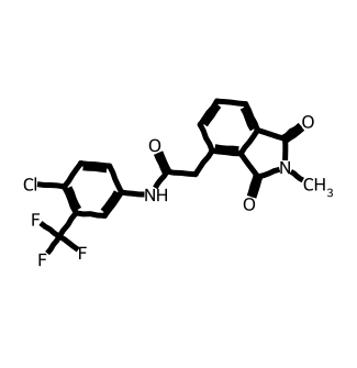 CN1C(=O)c2cccc(CC(=O)Nc3ccc(Cl)c(C(F)(F)F)c3)c2C1=O